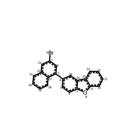 Brc1cc(-c2ccc3oc4ccccc4c3c2)c2ccccc2c1